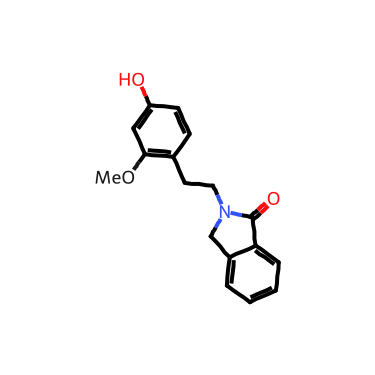 COc1cc(O)ccc1CCN1Cc2ccccc2C1=O